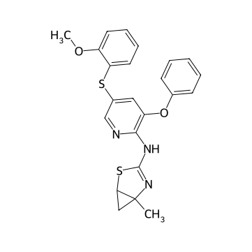 COc1ccccc1Sc1cnc(NC2=NC3(C)CC3S2)c(Oc2ccccc2)c1